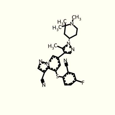 Cc1c(-c2cc(Sc3ccc(F)cc3C#N)c3c(C#N)cnn3c2)cnn1[C@H]1CCN(C)C(C)(C)C1